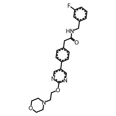 O=C(Cc1ccc(-c2cnc(OCCN3CCOCC3)nc2)cc1)NCc1cccc(F)c1